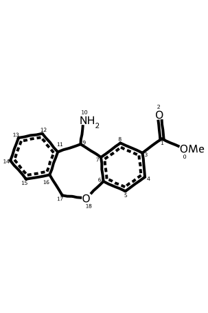 COC(=O)c1ccc2c(c1)C(N)c1ccccc1CO2